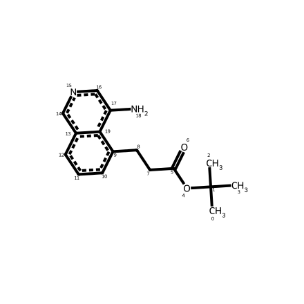 CC(C)(C)OC(=O)CCc1cccc2cncc(N)c12